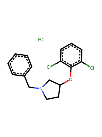 Cl.Clc1cccc(Cl)c1OC1CCN(Cc2ccccc2)C1